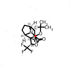 CC(C)(C)OC(=O)N1[C@H]2CC[C@@H]1[C@H]1[C@H](C(F)(F)F)OC(=O)N1C2